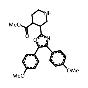 COC(=O)C1CCNCC1c1nc(-c2ccc(OC)cc2)c(-c2ccc(OC)cc2)o1